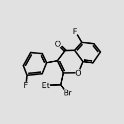 CCC(Br)c1oc2cccc(F)c2c(=O)c1-c1cccc(F)c1